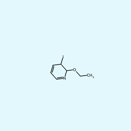 CCOC1N=CC=CC1I